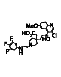 COc1ccc2ncc(Cl)c([C@H](O)CCC3(CC(=O)O)CCN(CCNc4cc(F)c(F)c(F)c4)CC3)c2c1